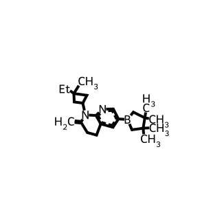 C=C1CCc2cc(B3CC(C)(C)C(C)(C)C3)cnc2N1C1CC(C)(CC)C1